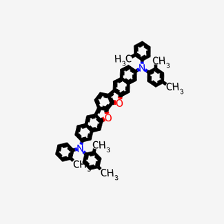 Cc1ccc(N(c2ccc3cc4c(cc3c2)oc2c4ccc3c4cc5ccc(N(c6ccccc6C)c6ccc(C)cc6C)cc5cc4oc32)c2ccccc2C)c(C)c1